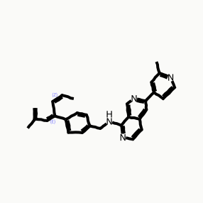 C=C(C)/C=C(\C=C/C)c1ccc(CNc2nccc3cc(-c4ccnc(C)c4)ncc23)cc1